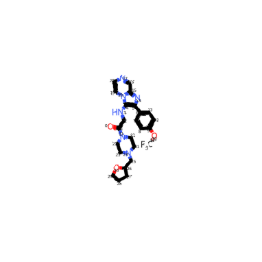 O=C(CNc1c(-c2ccc(OC(F)(F)F)cc2)nc2cnccn12)N1CCN(CC2CCCO2)CC1